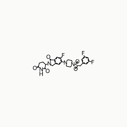 O=C1CCC(N2Cc3cc(N4CCN(S(=O)(=O)Cc5cc(F)cc(F)c5)CC4)c(F)cc3C2=O)C(=O)N1